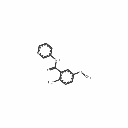 COc1ccc(C)c(C(=O)Nc2cccnc2)c1